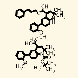 COc1ccccc1-c1ccc2c(c1)C(C(C)O)=CC(C)(C)N2C(=O)OC(C)(C)C.COc1ccccc1-c1ccc2c(c1)C(C(C)OCC=Cc1ccccc1)=CC(C)(C)N2